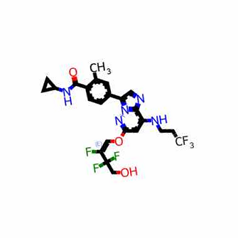 Cc1cc(-c2cnc3c(NCCC(F)(F)F)cc(O/C=C(/F)C(F)(F)CO)nn23)ccc1C(=O)NC1CC1